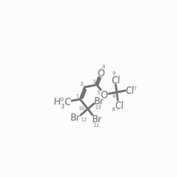 C/C(=C/C(=O)OC(Cl)(Cl)Cl)C(Br)(Br)Br